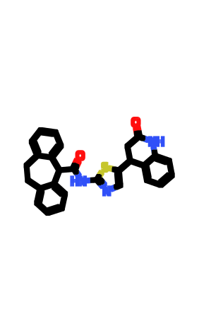 O=C1CC(c2cnc(NC(=O)C3c4ccccc4CCc4ccccc43)s2)c2ccccc2N1